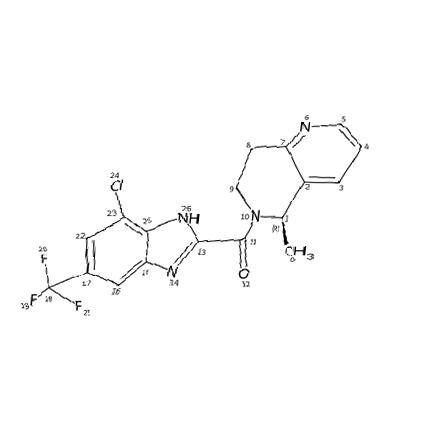 C[C@@H]1c2cccnc2CCN1C(=O)c1nc2cc(C(F)(F)F)cc(Cl)c2[nH]1